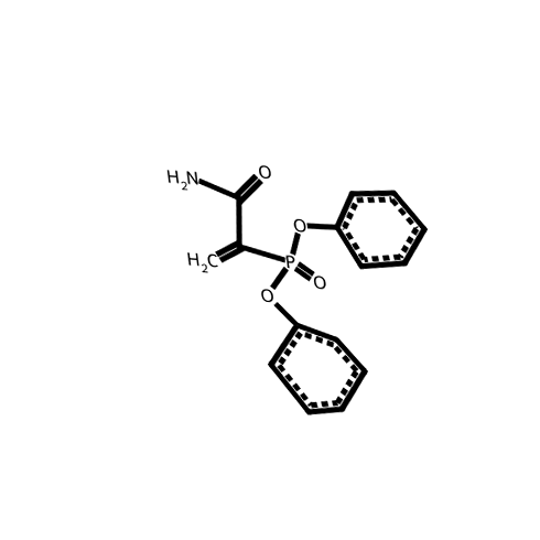 C=C(C(N)=O)P(=O)(Oc1ccccc1)Oc1ccccc1